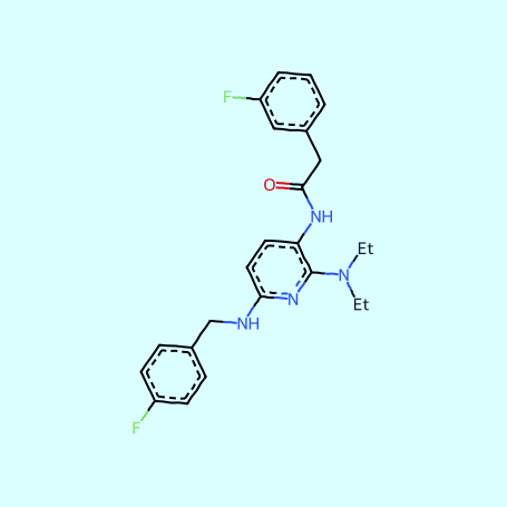 CCN(CC)c1nc(NCc2ccc(F)cc2)ccc1NC(=O)Cc1cccc(F)c1